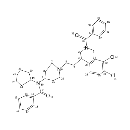 CN(CC(CCN1CCC(N(C(=O)c2ccccc2)C2CCCCC2)CC1)c1ccc(Cl)c(Cl)c1)C(=O)c1ccccc1